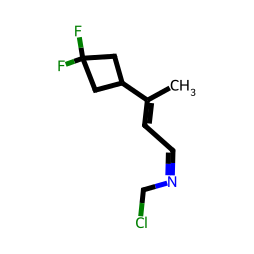 C/C(=C\C=N/CCl)C1CC(F)(F)C1